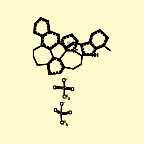 Cc1cccc2c(/C=C/c3cc4ccccc4[n+]4c3-c3c(ccc5c3-c3cccc[n+]3CCC5)CCC4)c[nH]c12.O=S(=O)([O-])C(F)(F)F.O=S(=O)([O-])C(F)(F)F